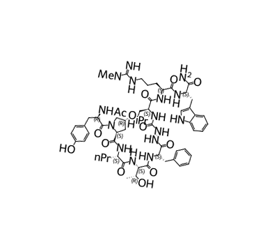 CCC[C@H](NC(=O)[C@@H]1C[C@@H](O)CN1C(=O)[C@@H](Cc1ccc(O)cc1)NC(C)=O)C(=O)N[C@H](C(=O)N[C@@H](Cc1ccccc1)C(=O)NNC(=O)N[C@@H](CC(C)C)C(=O)N[C@@H](CCCNC(=N)NC)C(=O)N[C@@H](Cc1c[nH]c2ccccc12)C(N)=O)[C@@H](C)O